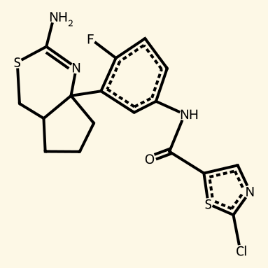 NC1=NC2(c3cc(NC(=O)c4cnc(Cl)s4)ccc3F)CCCC2CS1